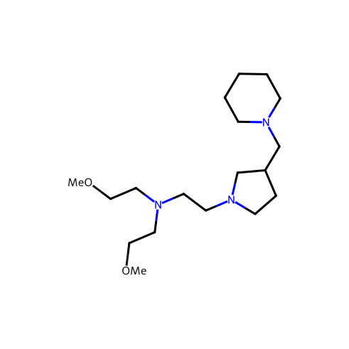 COCCN(CCOC)CCN1CCC(CN2CCCCC2)C1